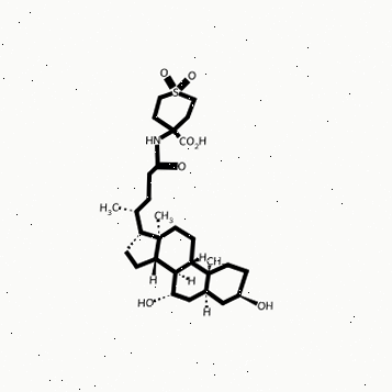 C[C@H](CCC(=O)NC1(C(=O)O)CCS(=O)(=O)CC1)[C@H]1CC[C@H]2[C@@H]3[C@@H](O)C[C@@H]4C[C@H](O)CC[C@]4(C)[C@H]3CC[C@]12C